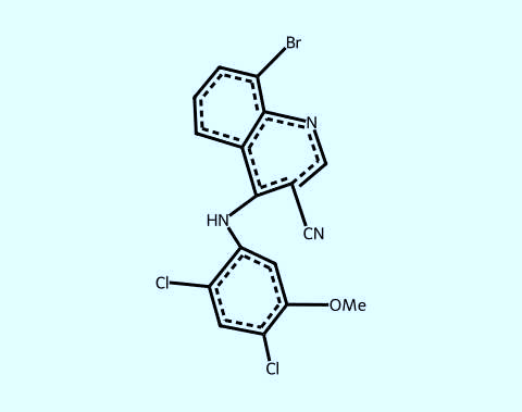 COc1cc(Nc2c(C#N)cnc3c(Br)cccc23)c(Cl)cc1Cl